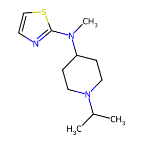 CC(C)N1CCC(N(C)c2nccs2)CC1